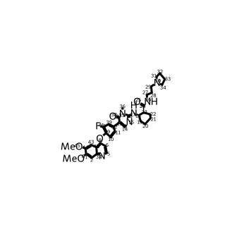 COc1cc2nccc(Oc3ccc(-c4cnc(N[C@@H]5CCCC[C@@H]5C(=O)NCCCN5CCCC5)n(C)c4=O)cc3F)c2cc1OC